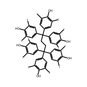 Oc1c(I)cc(C(CCC(c2cc(I)c(O)c(I)c2)(c2cc(I)c(O)c(I)c2)c2cc(I)c(O)c(I)c2)(c2cc(I)c(O)c(I)c2)c2cc(I)c(O)c(I)c2)cc1I